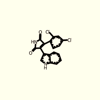 O=C1NC(=O)C(c2c[nH]c3ccccc23)=C1c1ccc(Cl)cc1Cl